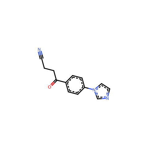 N#CCCC(=O)c1ccc(-n2ccnc2)cc1